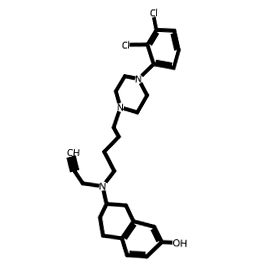 C#CCN(CCCCN1CCN(c2cccc(Cl)c2Cl)CC1)C1CCc2ccc(O)cc2C1